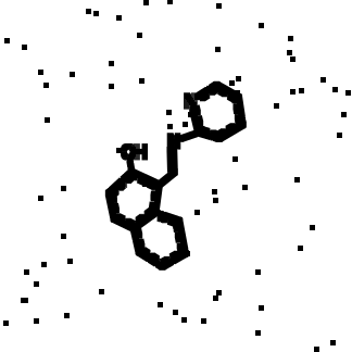 Oc1ccc2ccccc2c1/C=N/c1ccccn1